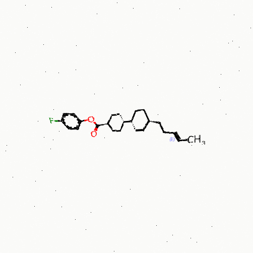 C/C=C/CC[C@H]1CC[C@H]([C@H]2CC[C@H](C(=O)Oc3ccc(F)cc3)CC2)CC1